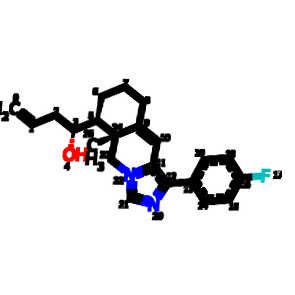 C=CC[C@@H](O)[C@H]1CCCC2=Cc3c(-c4ccc(F)cc4)ncn3C[C@@]21C